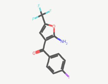 Nc1oc(C(F)(F)F)cc1C(=O)c1ccc(I)cc1